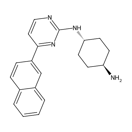 N[C@H]1CC[C@H](Nc2nccc(-c3ccc4ccccc4c3)n2)CC1